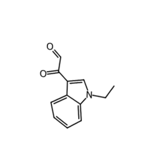 CCn1cc(C(=O)C=O)c2ccccc21